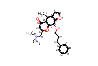 Cc1c2ccoc2c(OCCCc2ccccc2)c2oc(CN(C)C)cc(=O)c12